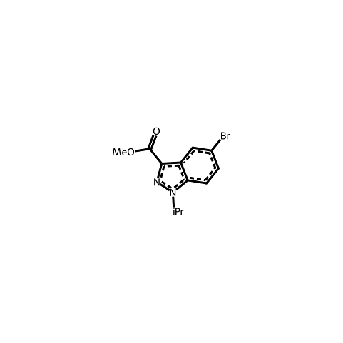 COC(=O)c1nn(C(C)C)c2ccc(Br)cc12